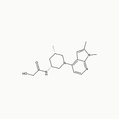 Cc1cc2c(N3C[C@@H](C)C[C@@H](NC(=O)CO)C3)ccnc2n1C